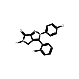 CC(C)N1Cc2c(nn(-c3ccc(Cl)cc3)c2-c2ccccc2Cl)C1=O